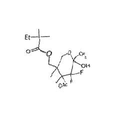 CCC(C)(C)C(=O)OCC1(C)COC(O)(C(F)(F)F)C(F)(F)C1(C)OC(C)=O